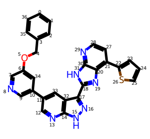 c1ccc(COc2cncc(-c3cnc4[nH]nc(-c5nc6c(-c7cccs7)ccnc6[nH]5)c4c3)c2)cc1